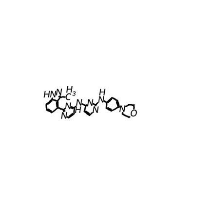 Cc1n[nH]c2cccc(-c3nccc(Nc4ccnc(Nc5ccc(N6CCOCC6)cc5)n4)n3)c12